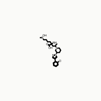 CB(O)CCCCC(N)(CC(C)N1CCCC(n2cc(-c3ccccc3Cl)cn2)C1)C(=O)O